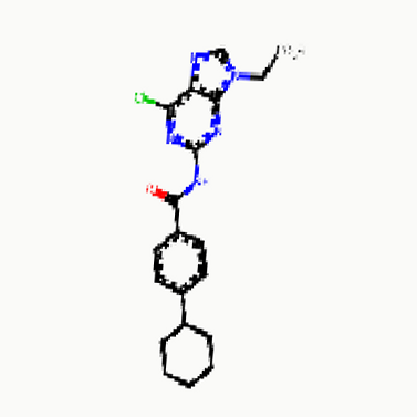 CCOC(=O)Cn1cnc2c(Cl)nc(NC(=O)c3ccc(C4CCCCC4)cc3)nc21